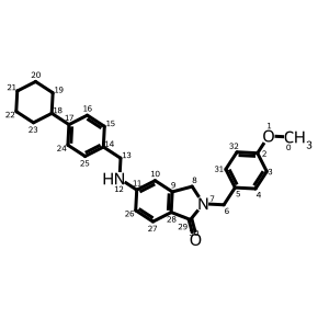 COc1ccc(CN2Cc3cc(NCc4ccc(C5CCCCC5)cc4)ccc3C2=O)cc1